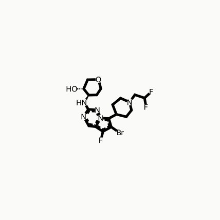 O[C@@H]1COCC[C@H]1Nc1ncc2c(F)c(Br)c(C3CCN(CC(F)F)CC3)n2n1